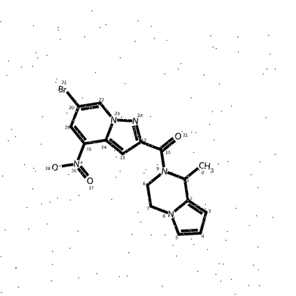 CC1c2cccn2CCN1C(=O)c1cc2c([N+](=O)[O-])cc(Br)cn2n1